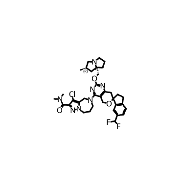 C[C@H]1CN2CCC[C@@]2(COc2nc3c(c(N4CCCn5nc(C(=O)N(C)C)c(Cl)c5C4)n2)COC2(CCc4ccc(C(F)F)cc42)C3)C1